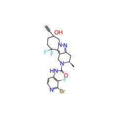 C#C[C@]1(O)CCC(F)(F)c2c3c(nn2C1)C[C@@H](C)N(C(=O)Nc1ccnc(Br)c1F)C3